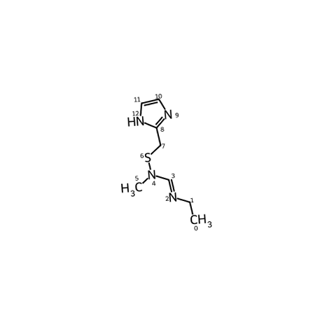 CCN=CN(C)SCc1ncc[nH]1